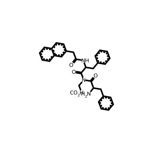 NC(Cc1ccccc1)C(=O)N(CC(=O)O)C(=O)C(Cc1ccccc1)NC(=O)Cc1ccc2ccccc2c1